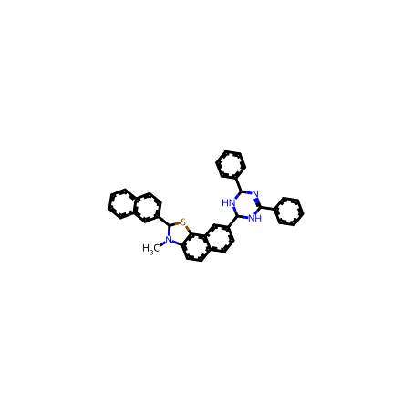 CN1c2ccc3ccc(C4NC(c5ccccc5)=NC(c5ccccc5)N4)cc3c2SC1c1ccc2ccccc2c1